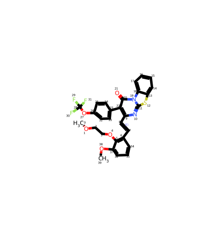 COCCOc1c(/C=C/c2nc3sc4ccccc4n3c(=O)c2-c2ccc(OC(F)(F)F)cc2)cccc1OC